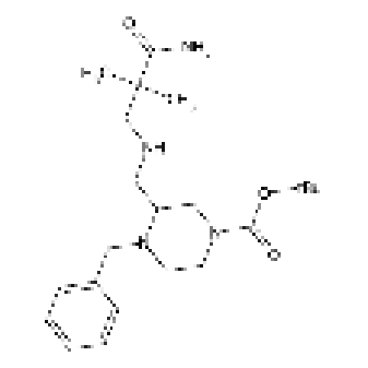 CC(C)(C)OC(=O)N1CCN(Cc2ccccc2)C(CNCC(C)(C)C(N)=O)C1